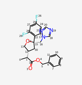 CC(C(=O)OCc1ccccc1)[C@@H]1CO[C@@](Cn2cncn2)(c2ccc(F)cc2F)C1